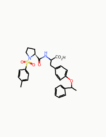 Cc1ccc(S(=O)(=O)N2CCC[C@H]2C(=O)NC(Cc2ccc(OC(C)c3ccccc3)cc2)C(=O)O)cc1